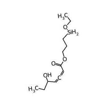 CCO[SiH2]CCCOC(=O)C=C=CC(O)CC